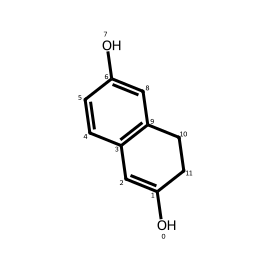 OC1=Cc2ccc(O)cc2CC1